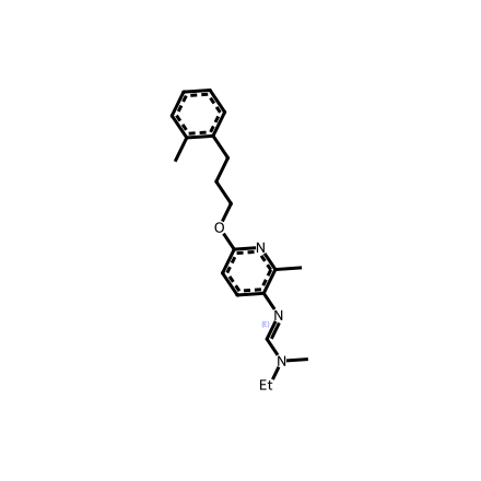 CCN(C)/C=N/c1ccc(OCCCc2ccccc2C)nc1C